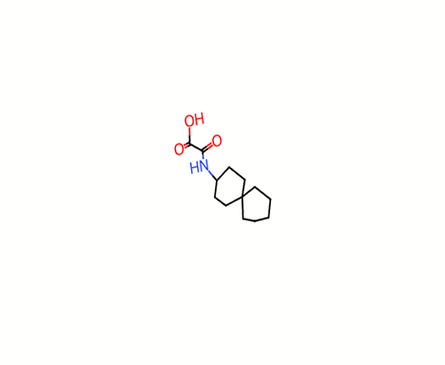 O=C(O)C(=O)NC1CCC2(CCCCC2)CC1